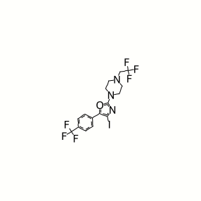 FC(F)(F)CN1CCN(c2nc(I)c(-c3ccc(C(F)(F)F)cc3)o2)CC1